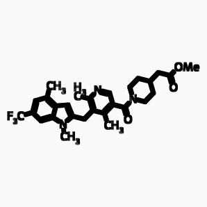 COC(=O)CC1CCN(C(=O)c2cnc(C)c(Cc3cc4c(C)cc(C(F)(F)F)cc4n3C)c2C)CC1